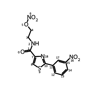 O=C(NCCO[N+](=O)[O-])c1csc(-c2cccc([N+](=O)[O-])c2)n1